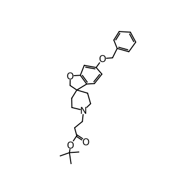 CC(C)(C)OC(=O)CCN1CCC2(CC1)COc1cc(OCc3ccccc3)ccc12